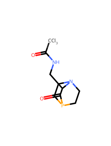 O=C1C(CNC(=O)C(Cl)(Cl)Cl)N2CCP1CC2